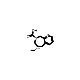 CC[C@H]1Cc2cccnc2CN(C(=O)O)C1